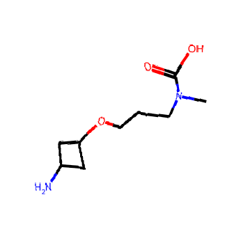 CN(CCCOC1CC(N)C1)C(=O)O